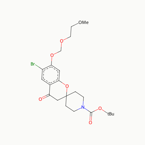 COCCOCOc1cc2c(cc1Br)C(=O)CC1(CCN(C(=O)OC(C)(C)C)CC1)O2